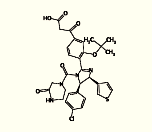 CC(C)(C)Oc1cc(C(=O)CC(=O)O)ccc1C1=N[C@@H](c2ccsc2)[C@@H](c2ccc(Cl)cc2)N1C(=O)N1CCNC(=O)C1